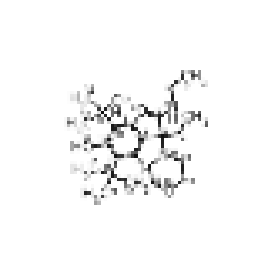 CCNC(=O)C(CC)(c1cc(C(C)(C)C)c(O)c(C(C)(C)C)c1)N1CCOCC1